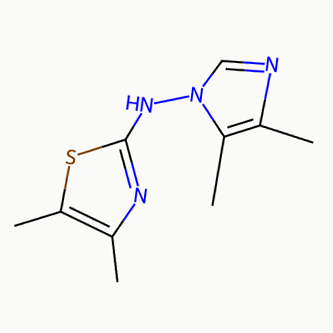 Cc1nc(Nn2cnc(C)c2C)sc1C